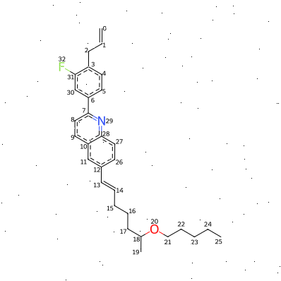 C=CCc1ccc(-c2ccc3cc(/C=C/CCCC(C)OCCCCC)ccc3n2)cc1F